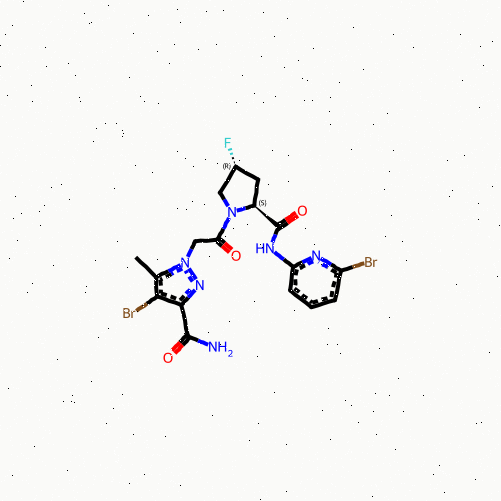 Cc1c(Br)c(C(N)=O)nn1CC(=O)N1C[C@H](F)C[C@H]1C(=O)Nc1cccc(Br)n1